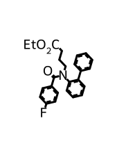 CCOC(=O)CCCN(C(=O)c1ccc(F)cc1)c1ccccc1-c1ccccc1